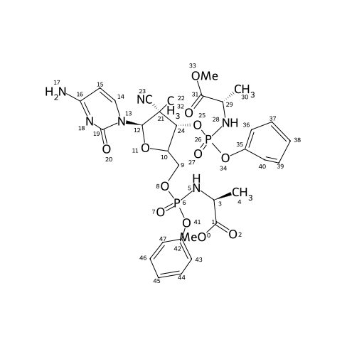 COC(=O)[C@H](C)NP(=O)(OCC1O[C@@H](n2ccc(N)nc2=O)[C@](C)(C#N)[C@@H]1OP(=O)(N[C@@H](C)C(=O)OC)Oc1ccccc1)Oc1ccccc1